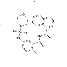 Cc1ccc(NS(=O)(=O)N2CCOCC2)cc1C(=O)N[C@H](C)c1cccc2ccccc12